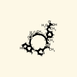 Cn1nc2nc1-c1cc(ccn1)Sc1c(F)cc3[nH]ccc3c1CCS(=O)(=O)CC(C)(C)CCC[C@]2(C)c1cccc(CC(C)(C)C(=O)O)c1